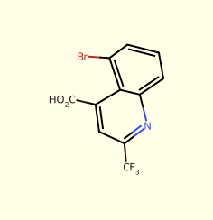 O=C(O)c1cc(C(F)(F)F)nc2cccc(Br)c12